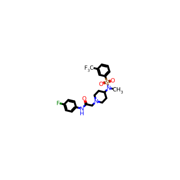 CN(C1CCN(CC(=O)Nc2ccc(F)cc2)CC1)S(=O)(=O)c1cccc(C(F)(F)F)c1